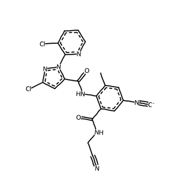 [C-]#[N+]c1cc(C)c(NC(=O)c2cc(Cl)nn2-c2ncccc2Cl)c(C(=O)NCC#N)c1